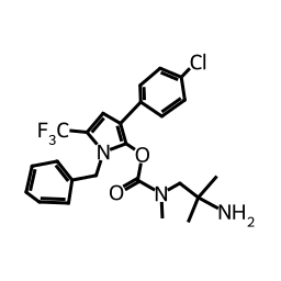 CN(CC(C)(C)N)C(=O)Oc1c(-c2ccc(Cl)cc2)cc(C(F)(F)F)n1Cc1ccccc1